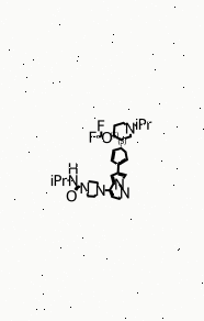 CC(C)NC(=O)N1CCN(c2ccnn3cc(C4=CCC([C@H]5CN(C(C)C)CC[C@@H]5OC(F)F)C=C4)cc23)CC1